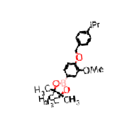 COc1cc(B2OC(C)(C)C(C)(C)O2)ccc1OCc1ccc(C(C)C)cc1